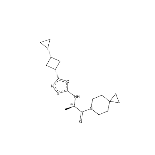 C[C@@H](Nc1nnc([C@H]2C[C@@H](C3CC3)C2)o1)C(=O)N1CCC2(CC1)CC2